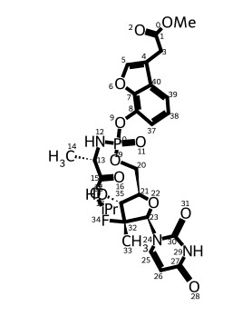 COC(=O)Cc1coc2c(OP(=O)(N[C@@H](C)C(=O)OC(C)C)OC[C@H]3O[C@@H](n4ccc(=O)[nH]c4=O)[C@](C)(F)[C@@H]3O)cccc12